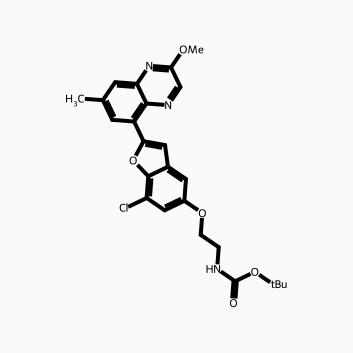 COc1cnc2c(-c3cc4cc(OCCNC(=O)OC(C)(C)C)cc(Cl)c4o3)cc(C)cc2n1